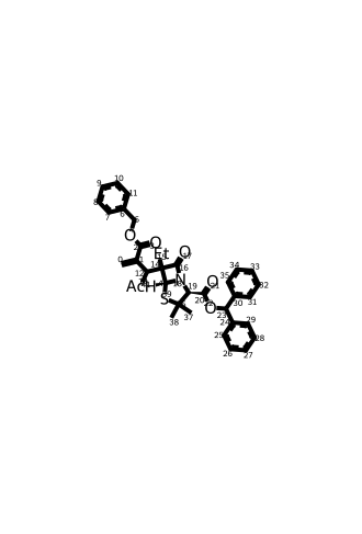 C=C(C(=O)OCc1ccccc1)C(C(C)=O)C1(CC)C(=O)N2[C@@H](C(=O)OC(c3ccccc3)c3ccccc3)C(C)(C)S[C@@H]21